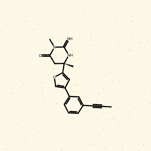 CC#Cc1cccc(-c2coc([C@]3(C)CC(=O)N(C)C(=N)N3)c2)c1